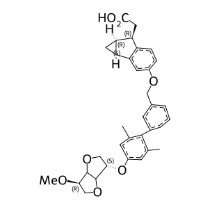 CO[C@@H]1COC2C1OC[C@@H]2Oc1cc(C)c(-c2cccc(COc3ccc4c(c3)[C@H]3C[C@H]3[C@H]4CC(=O)O)c2)c(C)c1